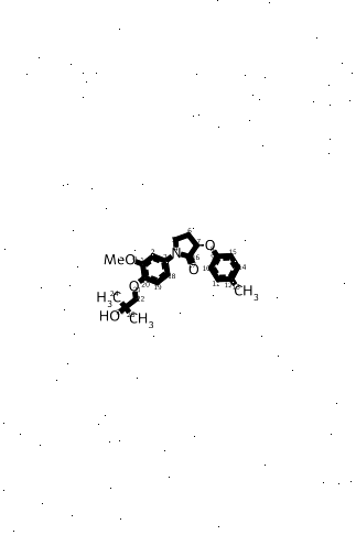 COc1cc(N2CC[C@H](Oc3ccc(C)cc3)C2=O)ccc1OCC(C)(C)O